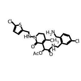 CC(=O)OC(C(=O)NCc1cc(Cl)ccc1CN)C1=C(C)CCN(NCc2ccc(Cl)s2)C1=O